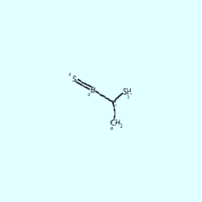 CC(S)B=S